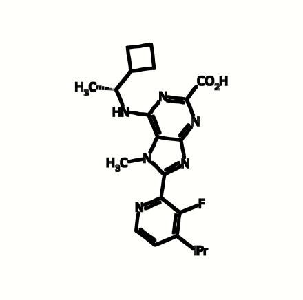 CC(C)c1ccnc(-c2nc3nc(C(=O)O)nc(N[C@H](C)C4CCC4)c3n2C)c1F